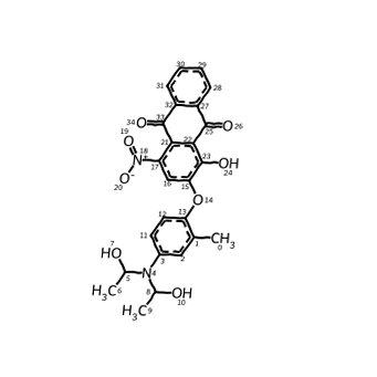 Cc1cc(N(C(C)O)C(C)O)ccc1Oc1cc([N+](=O)[O-])c2c(c1O)C(=O)c1ccccc1C2=O